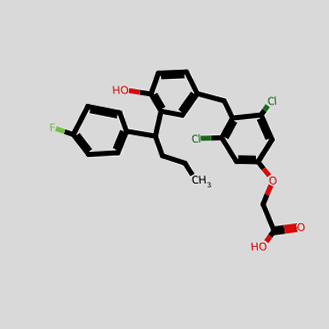 CCCC(c1ccc(F)cc1)c1cc(Cc2c(Cl)cc(OCC(=O)O)cc2Cl)ccc1O